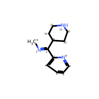 CN=C(c1ccccn1)C1CCNCC1